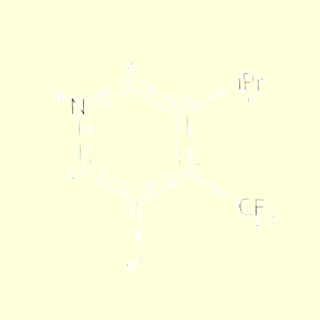 Cc1cncc(C(C)C)c1C(F)(F)F